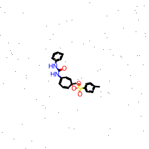 Cc1ccc(S(=O)(=O)OC2(C)C=CC=C(NC(=O)Nc3ccccc3)C=C2)cc1